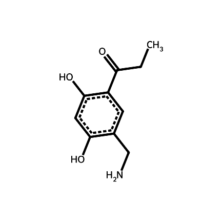 CCC(=O)c1cc(CN)c(O)cc1O